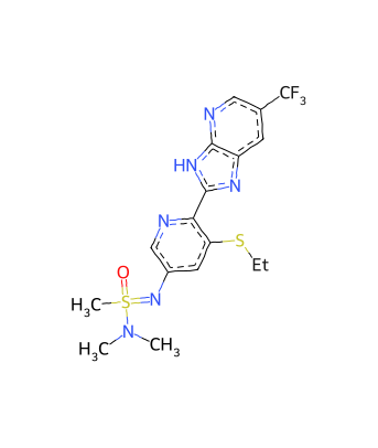 CCSc1cc(N=S(C)(=O)N(C)C)cnc1-c1nc2cc(C(F)(F)F)cnc2[nH]1